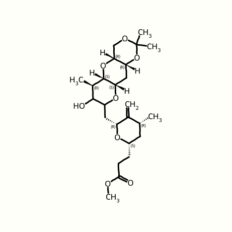 C=C1[C@H](C)C[C@H](CCC(=O)OC)O[C@@H]1CC1O[C@H]2C[C@H]3OC(C)(C)OC[C@H]3O[C@H]2[C@H](C)C1O